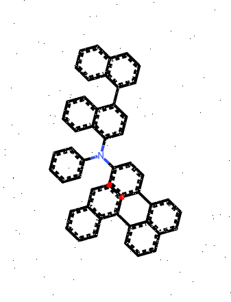 c1ccc(N(c2ccc(-c3cccc4cccc(-c5cccc6ccccc56)c34)cc2)c2ccc(-c3cccc4ccccc34)c3ccccc23)cc1